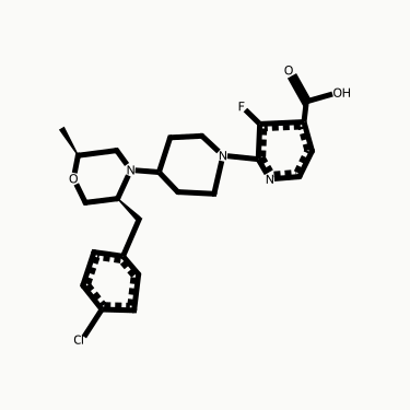 C[C@H]1CN(C2CCN(c3nccc(C(=O)O)c3F)CC2)[C@@H](Cc2ccc(Cl)cc2)CO1